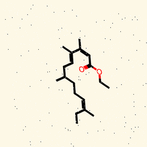 CCOC(=O)C=C(C)C(C)=CCC(C)CCC=C(C)CC